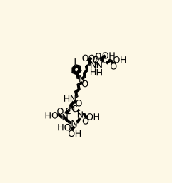 O=C(O)CC[C@H](NC(=O)N[C@@H](CCCCN(Cc1ccc(I)cc1)C(=O)CCCCNC(=O)CN1CCN(CC(=O)O)CCN(CC(O)O)CCN(CC(=O)O)CC1)C(=O)O)C(=O)O